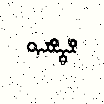 CC(CCC(CCC(CC(CCC(C)N1CCCCCC1)C1CC1)c1ccccn1)C1=CCOCC1)c1cccnc1